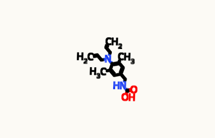 C=CCN(CC=C)c1c(C)cc(CNC(=O)O)cc1C